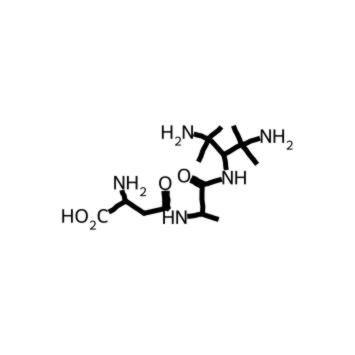 CC(NC(=O)CC(N)C(=O)O)C(=O)NC(C(C)(C)N)C(C)(C)N